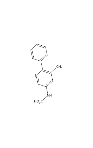 Cc1cc(NC(=O)O)cnc1-c1ccccc1